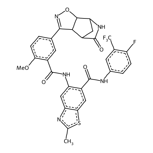 COc1ccc(C2=NOC3C4CC(C(=O)N4)C23)cc1C(=O)Nc1cc2nc(C)sc2cc1C(=O)Nc1ccc(F)c(C(F)(F)F)c1